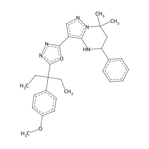 CCC(CC)(c1ccc(OC)cc1)c1nnc(-c2cnn3c2NC(c2ccccc2)CC3(C)C)o1